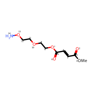 COC(=O)/C=C/C(=O)OCCOCCON